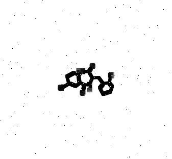 O=C1NC(Cc2ccccc2Cl)C(=O)Nc2ccc(Cl)cc21